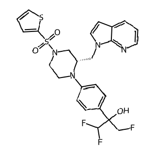 O=S(=O)(c1cccs1)N1CCN(c2ccc(C(O)(CF)C(F)F)cc2)[C@@H](Cn2ccc3cccnc32)C1